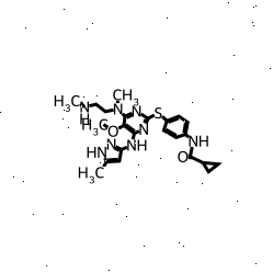 CNCCN(C)c1nc(Sc2ccc(NC(=O)C3CC3)cc2)nc(Nc2cc(C)[nH]n2)c1OC